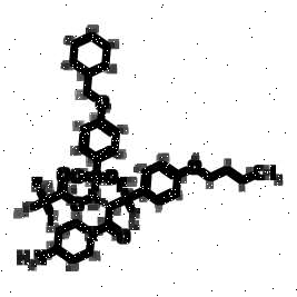 CCCCOc1ccc(C(F)(F)[C@H](C(=O)N2CCC(N)CC2)N(OC(=O)C(F)(F)F)S(=O)(=O)c2ccc(OCC3CCCCC3)cc2)cc1